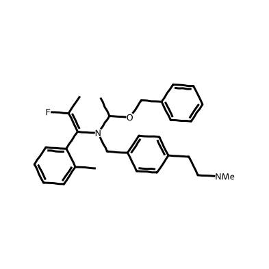 CNCCc1ccc(CN(/C(=C(\C)F)c2ccccc2C)C(C)OCc2ccccc2)cc1